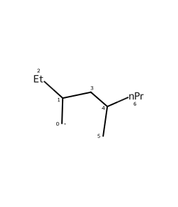 [CH2]C(CC)CC(C)CCC